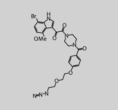 COc1ccc(Br)c2[nH]cc(C(=O)C(=O)N3CCN(C(=O)c4ccc(OCCOCCN=[N+]=[N-])cc4)CC3)c12